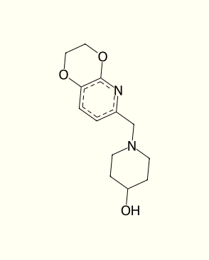 OC1CCN(Cc2ccc3c(n2)OCCO3)CC1